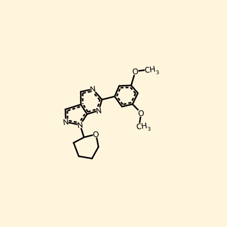 COc1cc(OC)cc(-c2ncc3cnn(C4CCCCO4)c3n2)c1